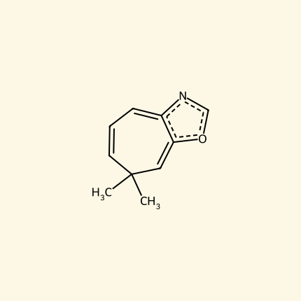 CC1(C)C=CC=c2ncoc2=C1